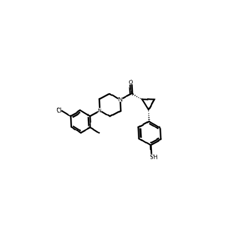 Cc1ccc(Cl)cc1N1CCN(C(=O)[C@@H]2C[C@@H]2c2ccc(S)cc2)CC1